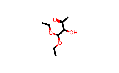 CCOC(OCC)C(O)C(C)=O